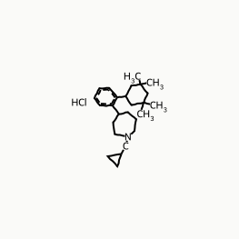 CC1(C)CC(c2ccccc2C2CCCN(CC3CC3)CC2)CC(C)(C)C1.Cl